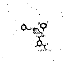 CCCN(CCC)C(=O)c1cc(C)cc(C(=O)N[C@@H](Cc2cc(F)cc(F)c2)[C@@H](O)C[C@@H](C)C(=O)NCc2ccccc2)c1